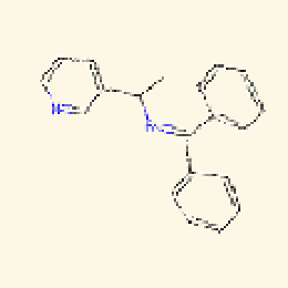 CC(N=C(c1ccccc1)c1ccccc1)c1cccnc1